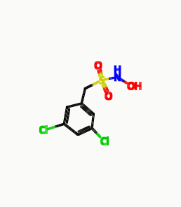 O=S(=O)(Cc1cc(Cl)cc(Cl)c1)NO